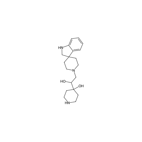 OC(CN1CCC2(CC1)CNc1ccccc12)C1(O)CCNCC1